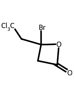 O=C1CC(Br)(CC(Cl)(Cl)Cl)O1